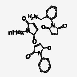 CCCCCCN1C(=O)C=CC1=O.NCc1ccccc1N1C(=O)C=CC1=O.O=C1C=CC(=O)N1c1ccccc1